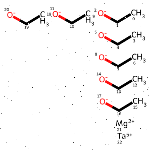 CC[O-].CC[O-].CC[O-].CC[O-].CC[O-].CC[O-].CC[O-].[Mg+2].[Ta+5]